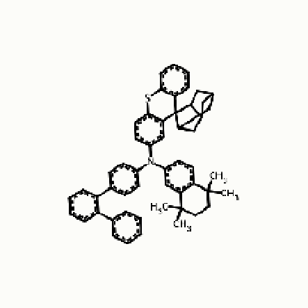 CC1(C)CCC(C)(C)c2cc(N(c3ccc(-c4ccccc4-c4ccccc4)cc3)c3ccc4c(c3)C3(c5ccccc5S4)C4CC5CC(C4)C3C5)ccc21